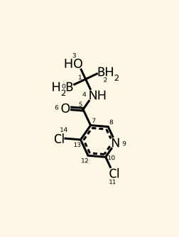 BC(B)(O)NC(=O)c1cnc(Cl)cc1Cl